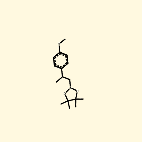 COc1ccc(C(C)CB2OC(C)(C)C(C)(C)O2)cc1